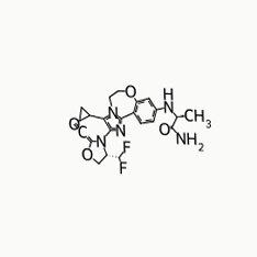 C[C@H](Nc1ccc2c(c1)OCCn1c-2nc(N2C(=C=O)OC[C@H]2C(F)F)c1C1CC1)C(N)=O